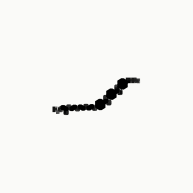 C=CC(=O)OCCOCCOCCOc1ccc(C(=O)Oc2ccc(C(=O)Oc3ccc(NC(C)=O)cc3)cc2)cc1